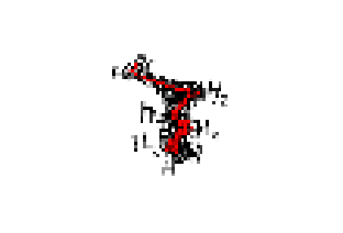 Cc1c[nH]c2c(OC(=O)N(C)CCN(C)C(=O)OCc3ccc(NC(=O)C(CCCNC(N)=O)NC(=O)C(NC(=O)CCOCCOCCOCCOCCOCCOCCNC4OC4CBr)C(C)C)cc3)cc3c(c12)C(CCl)CN3C(=O)C12CC(C(=O)N3CC(CCl)c4c3cc(OP(=O)(O)O)c3[nH]cc(C)c43)(C1)C2